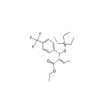 CCOC(=O)/C(=C/I)C(O[Si](CC)(CC)CC)c1ccc(C(F)(F)F)cc1